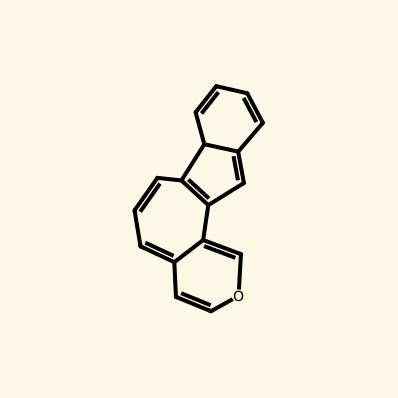 C1=CC2=CC3=C(C=CC=C4C=COC=C43)C2C=C1